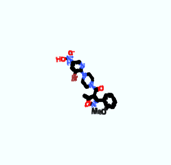 COc1ccccc1-c1noc(C)c1C(=O)N1CCN(c2ncc([NH+]([O-])O)cc2Br)CC1